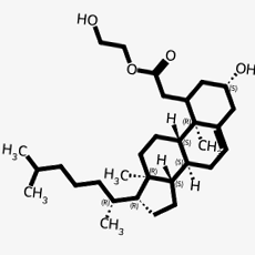 CC(C)CCC[C@@H](C)[C@H]1CC[C@H]2[C@@H]3CC=C4C[C@@H](O)CC(CC(=O)OCCO)[C@]4(C)[C@H]3CC[C@]12C